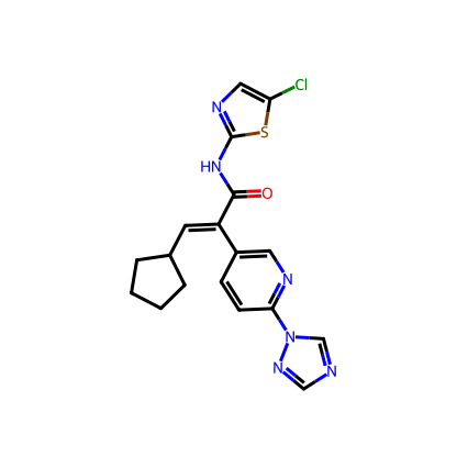 O=C(Nc1ncc(Cl)s1)/C(=C/C1CCCC1)c1ccc(-n2cncn2)nc1